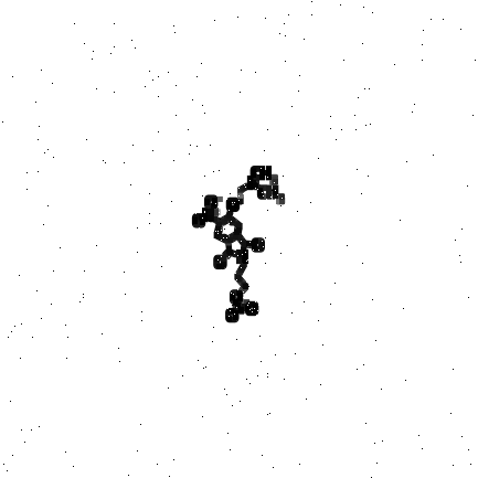 CN(C)CCOc1cc2c(cc1[N+](=O)[O-])C(=O)N(CCCO[N+](=O)[O-])C2=O